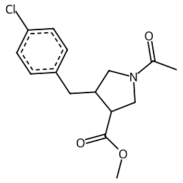 COC(=O)C1CN(C(C)=O)CC1Cc1ccc(Cl)cc1